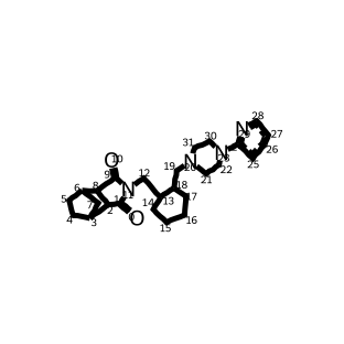 O=C1C2C3CCC(C3)C2C(=O)N1CC1CCCCC1CN1CCN(c2ccccn2)CC1